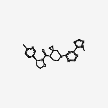 Cc1ccc([C@@H]2CCON2C(=O)[C@@H]2CCN(c3ncnc(-c4ccnn4C)n3)CC23CC3)cn1